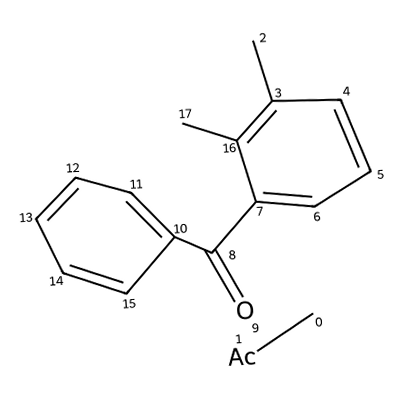 CC(C)=O.Cc1cccc(C(=O)c2ccccc2)c1C